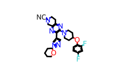 N#CN1CCc2nc(N3CCC(Oc4ccc(F)cc4F)CC3)c(-c3cnn(C4CCCCO4)c3)nc2C1